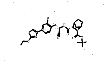 CCOc1nc(-c2ccc(C[C@@H](C#N)NC(=O)[C@@H]3C4CCC(C4)N3C(=O)OC(C)(C)C)c(F)c2)cs1